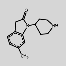 Cc1ccc2c(c1)N(C1CCNCC1)C(=O)C2